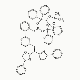 CC1(C)OC2[C@@H](O1)C(c1ccccc1)(c1ccccc1)OP(Oc1ccccc1-c1cccc(CC(C3=NC(c4ccccc4)CO3)C3=NC(c4ccccc4)CO3)c1)OC2(c1ccccc1)c1ccccc1